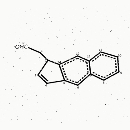 O=[C]CC1C=Cc2cc3ccccc3cc21